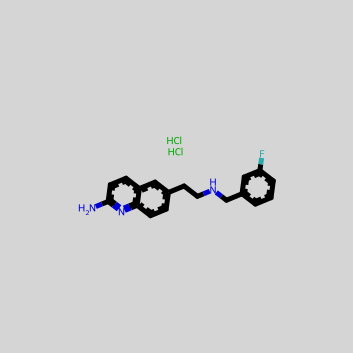 Cl.Cl.Nc1ccc2cc(CCNCc3cccc(F)c3)ccc2n1